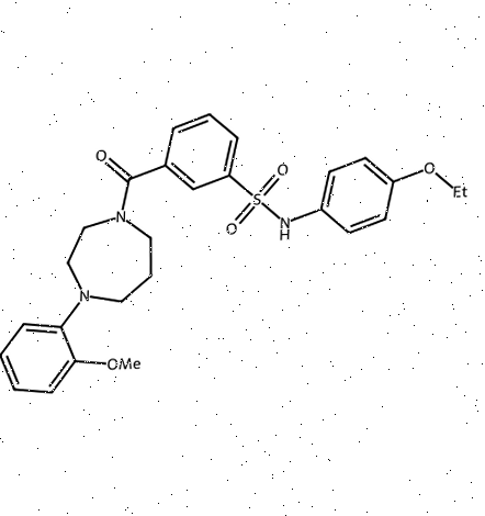 CCOc1ccc(NS(=O)(=O)c2cccc(C(=O)N3CCCN(c4ccccc4OC)CC3)c2)cc1